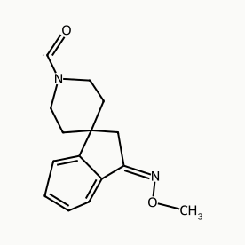 CO/N=C1/CC2(CCN([C]=O)CC2)c2ccccc21